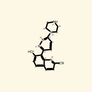 N#Cc1ccc2ccc(O)c(-c3ccc(N4CCNCC4)nn3)c2n1